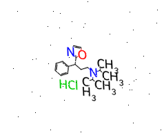 CC(C)N(CCC(c1ccccc1)c1ncco1)C(C)C.Cl